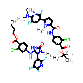 CCCCOC(=O)c1ccc(Nc2[nH]c(=O)n(C)c2-c2cc(F)c(F)nc2F)cc1Cl.CN(C)c1nc(F)c(-c2ccc(C(=O)Nc3ccc(C(=O)OC(C)(C)C)c(Cl)c3)n2C)cc1F